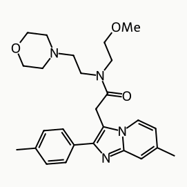 COCCN(CCN1CCOCC1)C(=O)Cc1c(-c2ccc(C)cc2)nc2cc(C)ccn12